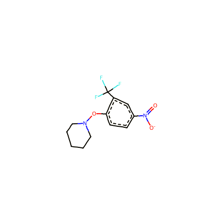 O=[N+]([O-])c1ccc(ON2CCCCC2)c(C(F)(F)F)c1